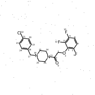 O=C(COc1c(F)ccc(F)c1F)N1CCN(Cc2ccc(Cl)cc2)CC1